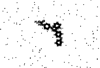 CC(=O)N[C@H]1CC[C@H](n2nc(-c3ccc(Oc4ccccc4)cc3)c3cncnc32)CC1